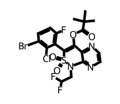 CC(C)(C)C(=O)OC1=C(c2c(F)ccc(Br)c2Cl)S(=O)(=O)N(CC(F)F)c2nccnc21